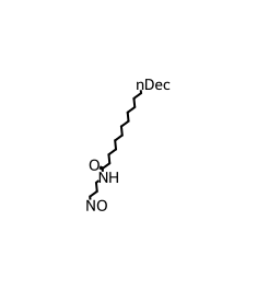 CCCCCCCCCCCCCCCCCCCCCC(=O)NCCCN=O